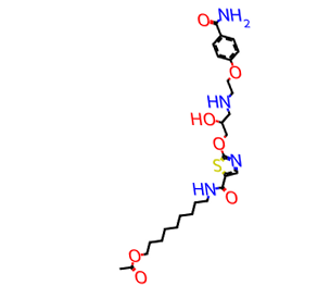 CC(=O)OCCCCCCCCCNC(=O)c1cnc(OCC(O)CNCCOc2ccc(C(N)=O)cc2)s1